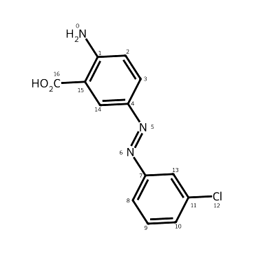 Nc1ccc(N=Nc2cccc(Cl)c2)cc1C(=O)O